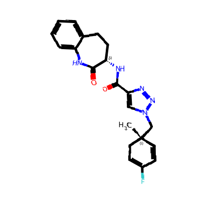 C[C@@]1(Cn2cc(C(=O)N[C@H]3CCc4ccccc4NC3=O)nn2)C=CC(F)=CC1